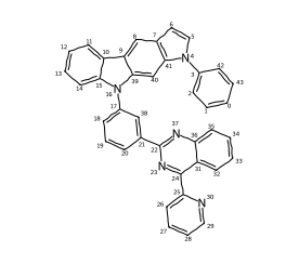 c1ccc(-n2ccc3cc4c5ccccc5n(-c5cccc(-c6nc(-c7ccccn7)c7ccccc7n6)c5)c4cc32)cc1